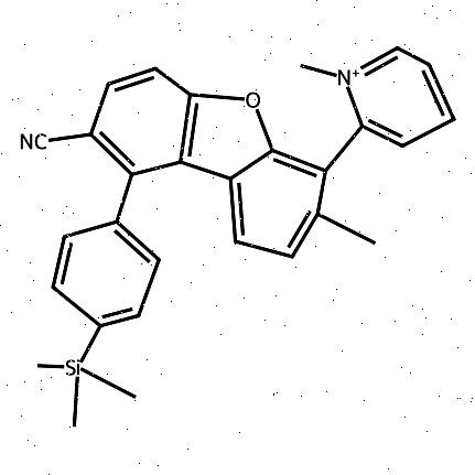 Cc1ccc2c(oc3ccc(C#N)c(-c4ccc([Si](C)(C)C)cc4)c32)c1-c1cccc[n+]1C